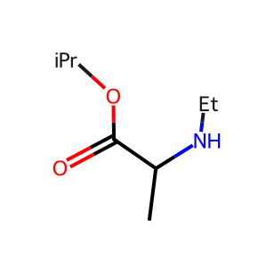 CCNC(C)C(=O)OC(C)C